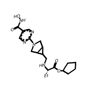 CC[C@H](NCC1C2CN(c3ncc(C(=O)NO)cn3)CC12)C(=O)OC1CCCC1